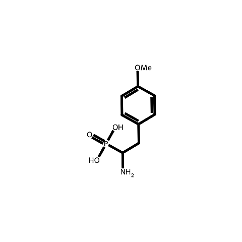 COc1ccc(CC(N)P(=O)(O)O)cc1